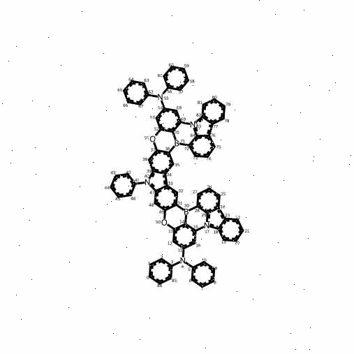 c1ccc(N(c2ccccc2)c2cc3c4c(c2)-n2c5ccccc5c5cccc(c52)B4c2cc4c5cc6c(cc5n(-c5ccccc5)c4cc2O3)Oc2cc(N(c3ccccc3)c3ccccc3)cc3c2B6c2cccc4c5ccccc5n-3c24)cc1